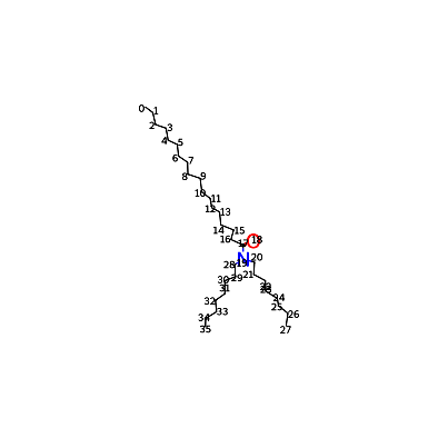 CCCCCCCCCCCCCCCCCC(=O)N(CCCCCCCC)CCCCCCCC